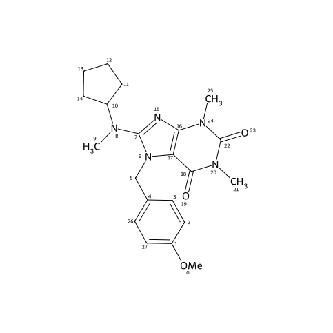 COc1ccc(Cn2c(N(C)C3CCCC3)nc3c2c(=O)n(C)c(=O)n3C)cc1